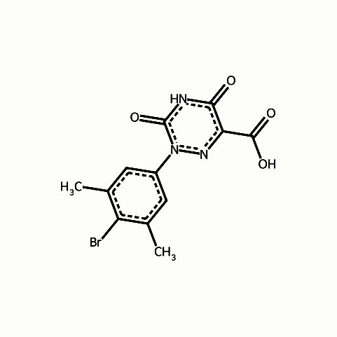 Cc1cc(-n2nc(C(=O)O)c(=O)[nH]c2=O)cc(C)c1Br